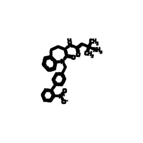 CC(C)(N)CC(=O)N[C@@H]1CCc2ccccc2N(Cc2ccc(-c3ccccc3[N+](=O)[O-])cc2)C1=O